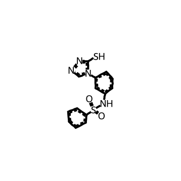 O=S(=O)(Nc1cccc(-n2cnnc2S)c1)c1ccccc1